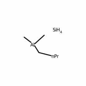 CCC[CH2][Al]([CH3])[CH3].[SiH4]